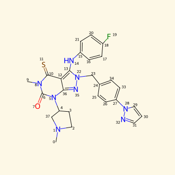 CN1CCC(n2c(=O)n(C)c(=S)c3c(Nc4ccc(F)cc4)n(Cc4ccc(-n5cccn5)cc4)nc32)C1